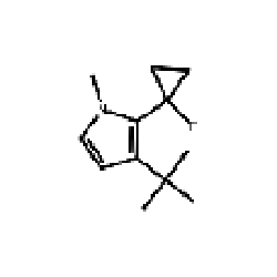 Cn1ccc(C(C)(C)C)c1C1(F)CC1